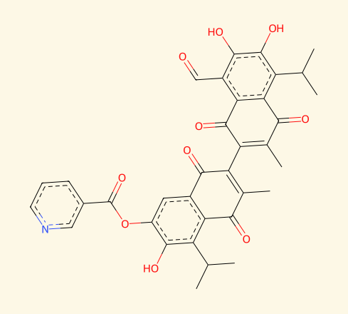 CC1=C(C2=C(C)C(=O)c3c(c(C=O)c(O)c(O)c3C(C)C)C2=O)C(=O)c2cc(OC(=O)c3cccnc3)c(O)c(C(C)C)c2C1=O